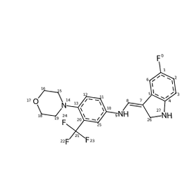 Fc1ccc2c(c1)C(=CNc1ccc(N3CCOCC3)c(C(F)(F)F)c1)CN2